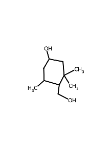 CC1CC(O)CC(C)(C)C1CO